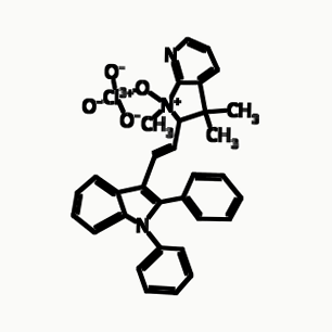 CC1(C)c2cccnc2[N+](C)(O[Cl+3]([O-])([O-])[O-])C1C=Cc1c(-c2ccccc2)n(-c2ccccc2)c2ccccc12